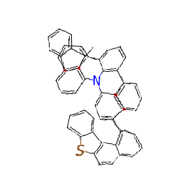 CC1(C)c2ccccc2-c2cccc(N(c3ccc(-c4cccc5ccc6sc7ccccc7c6c45)cc3)c3c(-c4ccccc4)cccc3-c3ccccc3)c21